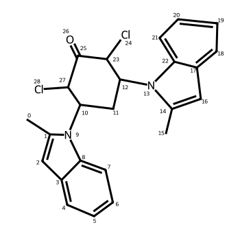 Cc1cc2ccccc2n1C1CC(n2c(C)cc3ccccc32)C(Cl)C(=O)C1Cl